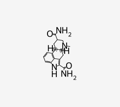 CN1CC(C(N)=O)C[C@@H]2c3cccc4[nH]c(C(N)=O)c(c34)C[C@H]21